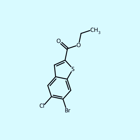 CCOC(=O)c1cc2cc(Cl)c(Br)cc2s1